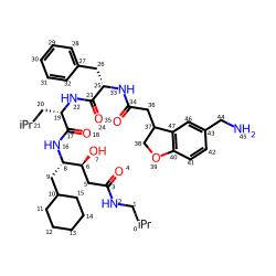 CC(C)CNC(=O)C[C@H](O)[C@H](CC1CCCCC1)NC(=O)[C@H](CC(C)C)NC(=O)[C@H](Cc1ccccc1)NC(=O)CC1COc2ccc(CN)cc21